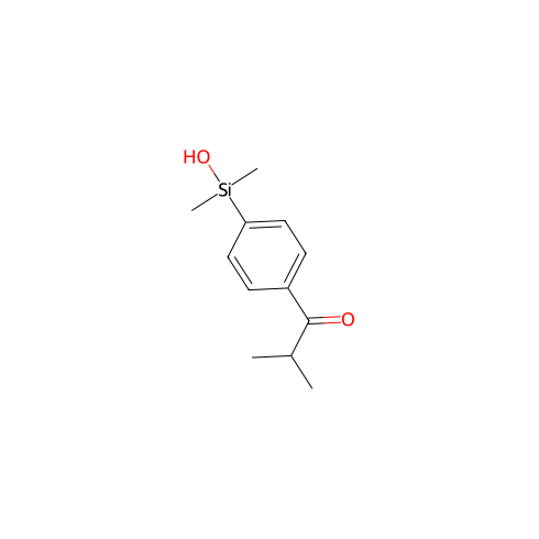 CC(C)C(=O)c1ccc([Si](C)(C)O)cc1